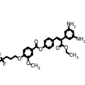 CCOC(=O)C(=Cc1ccc(OC(=O)c2ccc(OCCCC(F)(F)F)c(OC)c2)cc1)c1cc(N)cc(N)c1